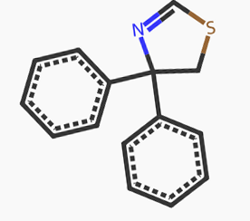 C1=NC(c2ccccc2)(c2ccccc2)CS1